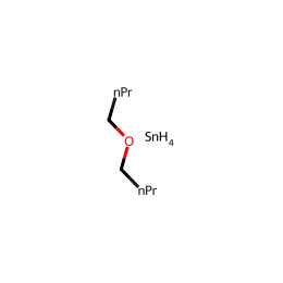 CCCCOCCCC.[SnH4]